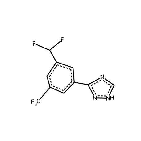 FC(F)c1cc(-c2nc[nH]n2)cc(C(F)(F)F)c1